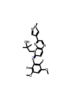 COc1cc(OC)c(F)c(/N=c2\ccc3ncc(-c4cnn(C)c4)nc3n2CC(C)(C)O)c1F